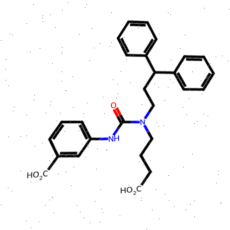 O=C(O)CCCN(CCC(c1ccccc1)c1ccccc1)C(=O)Nc1cccc(C(=O)O)c1